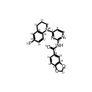 O=C(Nc1nccc(N2CCCc3cc(F)ccc32)n1)c1ccc2c(c1)OCO2